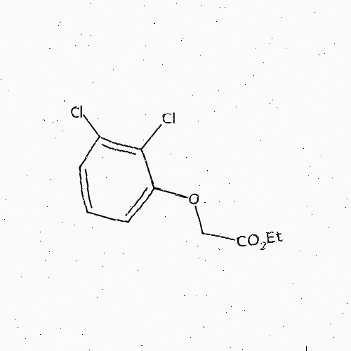 CCOC(=O)COc1cccc(Cl)c1Cl